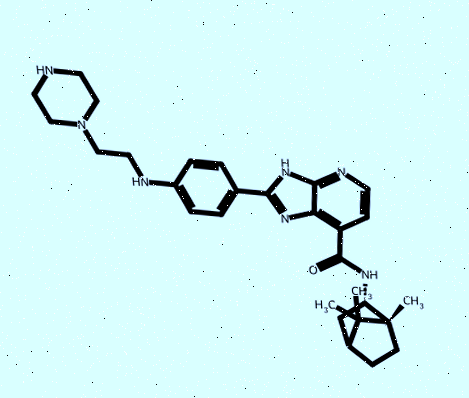 CC1(C)C2CC[C@@]1(C)[C@@H](NC(=O)c1ccnc3[nH]c(-c4ccc(NCCN5CCNCC5)cc4)nc13)C2